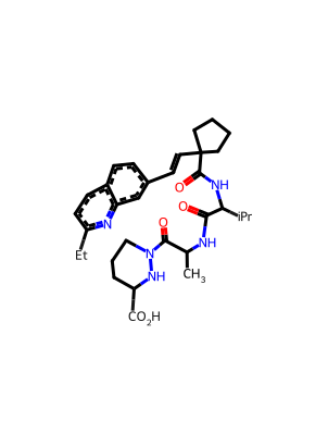 CCc1ccc2ccc(/C=C/C3(C(=O)NC(C(=O)NC(C)C(=O)N4CCCC(C(=O)O)N4)C(C)C)CCCC3)cc2n1